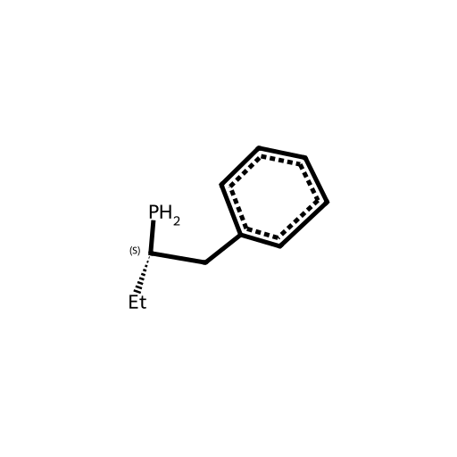 CC[C@H](P)Cc1ccccc1